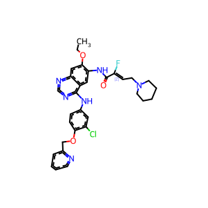 CCOc1cc2ncnc(Nc3ccc(OCc4ccccn4)c(Cl)c3)c2cc1NC(=O)/C(F)=C/CN1CCCCC1